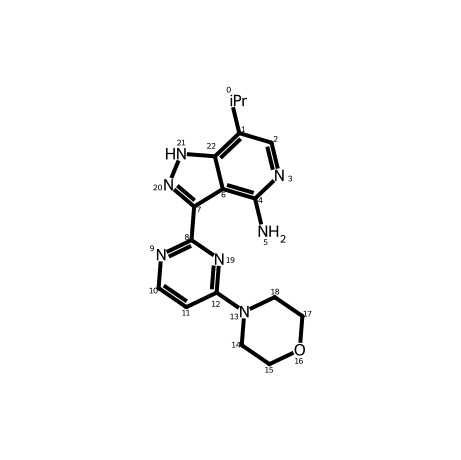 CC(C)c1cnc(N)c2c(-c3nccc(N4CCOCC4)n3)n[nH]c12